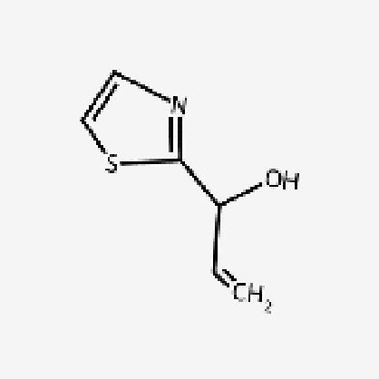 C=CC(O)c1nccs1